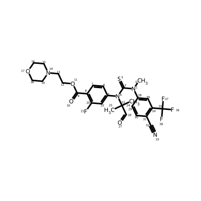 CN(C(=S)N(c1ccc(C(=O)OCCN2CCOCC2)c(F)c1)C(C)(C)C=O)c1ccc(C#N)c(C(F)(F)F)c1